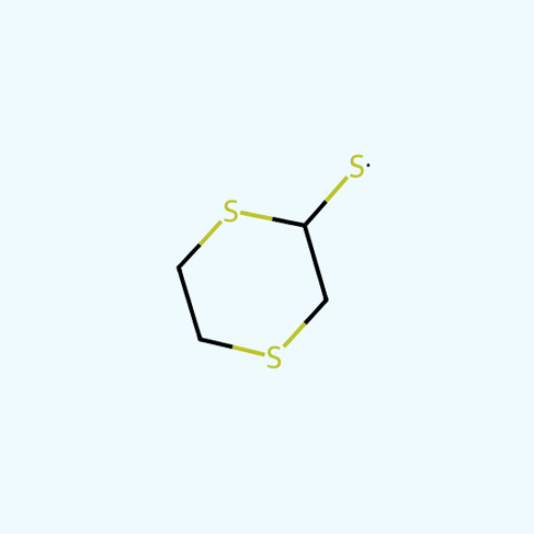 [S]C1CSCCS1